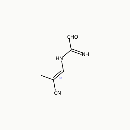 C/C(C#N)=C\NC(=N)C=O